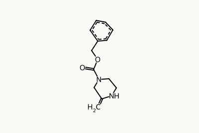 C=C1CN(C(=O)OCc2ccccc2)CCN1